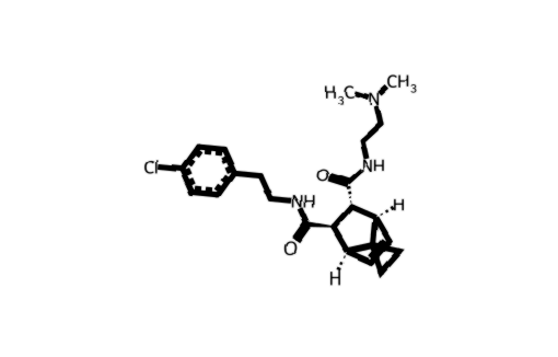 CN(C)CCNC(=O)[C@H]1[C@H](C(=O)NCCc2ccc(Cl)cc2)[C@@H]2C=C[C@H]1C21CC1